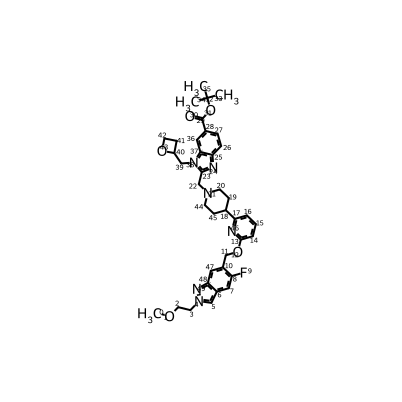 COCCn1cc2cc(F)c(COc3cccc(C4CCN(Cc5nc6ccc(C(=O)OC(C)(C)C)cc6n5CC5CCO5)CC4)n3)cc2n1